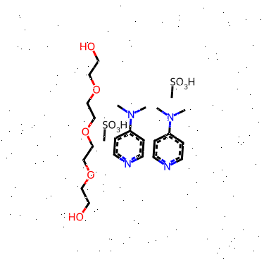 CN(C)c1ccncc1.CN(C)c1ccncc1.CS(=O)(=O)O.CS(=O)(=O)O.OCCOCCOCCOCCO